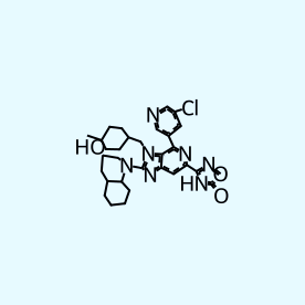 CC1CCC(Cn2c(N3CC(O)CC4CCCCC43)nc3cc(-c4noc(=O)[nH]4)nc(-c4cncc(Cl)c4)c32)CC1